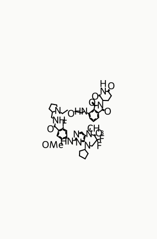 COc1cc(C(=O)NCC2CCCN2CCOCCNc2cccc3c2C(=O)N(C2CCC(=O)NC2=O)C3=O)c(F)cc1Nc1ncc2c(n1)N(C1CCCC1)CC(F)(F)C(=O)N2C